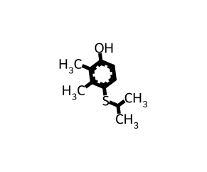 Cc1c(O)ccc(SC(C)C)c1C